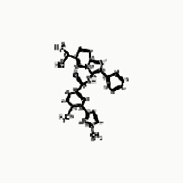 CC(O)c1ccc2nc(-c3ccccc3)c(NC(=O)c3ccc(C(F)(F)F)c(-c4ccn(C)n4)c3)n2c1